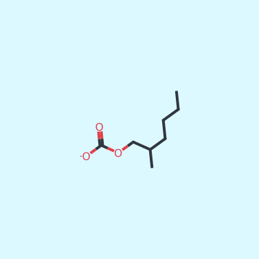 CCCCC(C)COC([O])=O